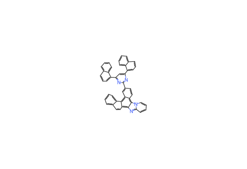 c1ccc2c(-c3cc(-c4cccc5ccccc45)nc(-c4ccc5c(c4)c4c6ccccc6ccc4c4nc6ccccn6c54)n3)cccc2c1